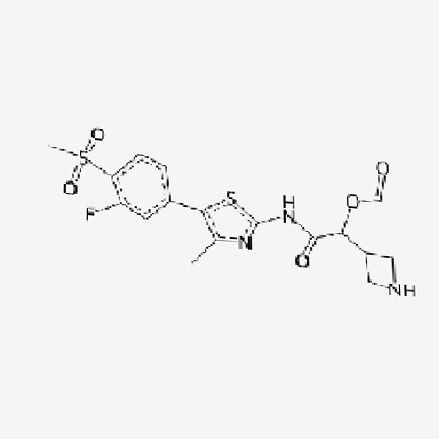 Cc1nc(NC(=O)C(OC=O)C2CNC2)sc1-c1ccc(S(C)(=O)=O)c(F)c1